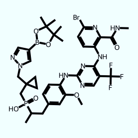 CNC(=O)c1nc(Br)ccc1Nc1nc(Nc2ccc(CC(C)P(=O)(O)CC3(Cn4cc(B5OC(C)(C)C(C)(C)O5)cn4)CC3)cc2OC)ncc1C(F)(F)F